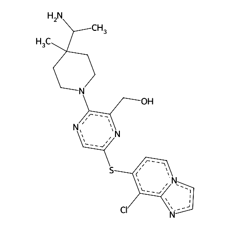 CC(N)C1(C)CCN(c2ncc(Sc3ccn4ccnc4c3Cl)nc2CO)CC1